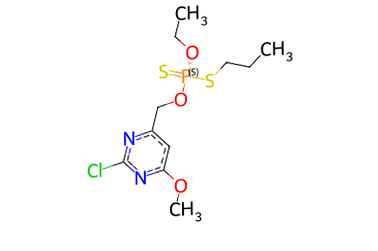 CCCS[P@@](=S)(OCC)OCc1cc(OC)nc(Cl)n1